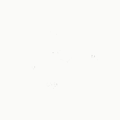 CCOC(=O)Cc1ccccc1OCc1ccc(C2CC2)c2oc(-c3cccc(CN)c3)cc12